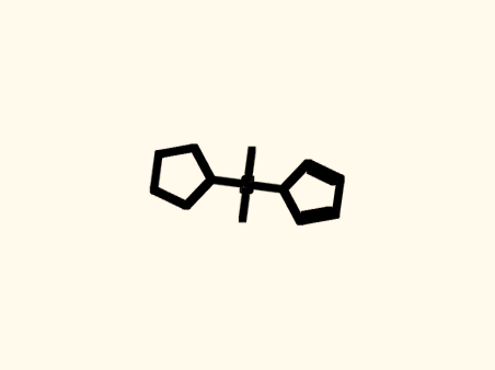 CS(C)(C1C=CC=C1)C1CCCC1